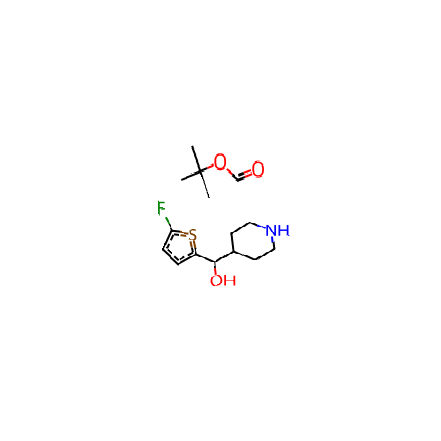 CC(C)(C)OC=O.OC(c1ccc(F)s1)C1CCNCC1